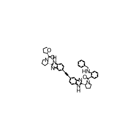 O=C(c1ccccc1NCc1ccccc1)N1CCC[C@H]1c1nc2cc(C#Cc3ccc4[nH]c([C@@H]5CCCN5C(=O)[C@H]5CCCO5)nc4c3)ccc2[nH]1